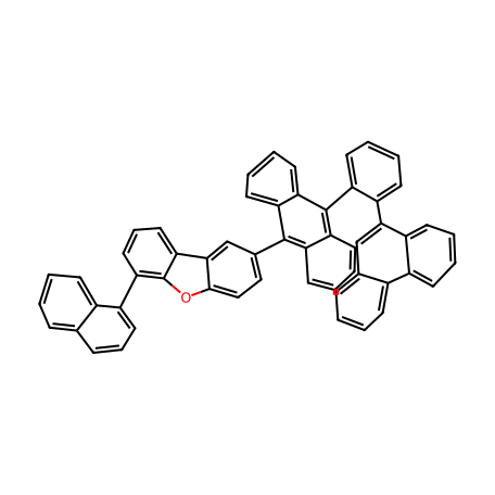 c1ccc(-c2cc3ccccc3c3ccccc23)c(-c2c3ccccc3c(-c3ccc4oc5c(-c6cccc7ccccc67)cccc5c4c3)c3ccccc23)c1